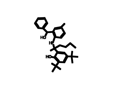 CCCCC(C)(Pc1ccc(C)cc1C(O)c1ccccc1)c1cc(C(C)(C)C)cc(C(C)(C)C)c1O